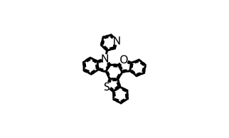 c1cncc(-n2c3ccccc3c3c4sc5ccccc5c4c4c5ccccc5oc4c32)c1